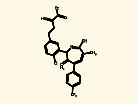 C=C1C(c2ccc(C(F)(F)F)cc2)=C=C(C)C(O)=NC1c1cc(CCC(=N)C(=O)CC)ccc1Cl